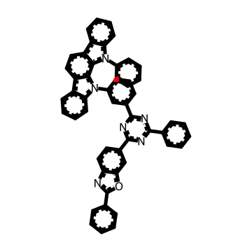 c1ccc(-c2nc(-c3cccc(-n4c5ccccc5c5ccc6c7ccccc7n(-c7ccccc7)c6c54)c3)nc(-c3ccc4nc(-c5ccccc5)oc4c3)n2)cc1